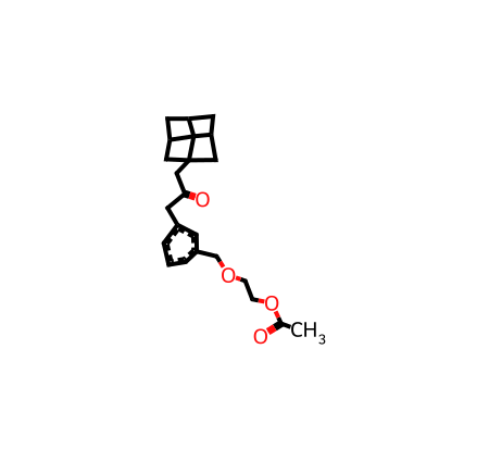 CC(=O)OCCOCc1cccc(CC(=O)CC23CC4CC5CC(C2)C543)c1